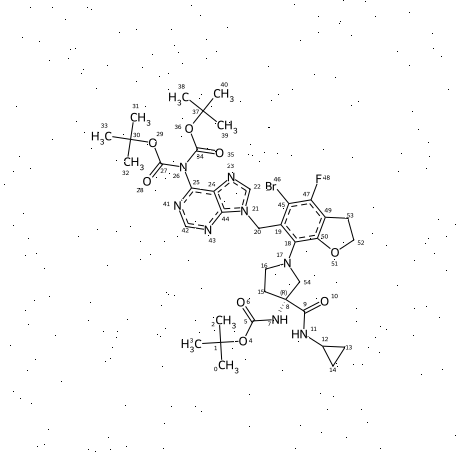 CC(C)(C)OC(=O)N[C@]1(C(=O)NC2CC2)CCN(c2c(Cn3cnc4c(N(C(=O)OC(C)(C)C)C(=O)OC(C)(C)C)ncnc43)c(Br)c(F)c3c2OCC3)C1